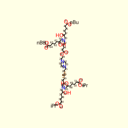 CCCCOC(=O)CCCCC(O)CN(CCCCC(=O)OCCN1CCN(CCSSCCCCN(CC(O)CCCCC(=O)OC(C)C)CC(O)CCCCC(=O)OC(C)C)CC1)CC(O)CCCCC(=O)OCCCC